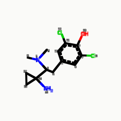 CN(C)C(Cc1cc(Cl)c(O)c(Cl)c1)C1(N)CC1